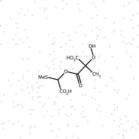 CSC(OC(=O)C(C)(OO)C(=O)O)C(=O)O